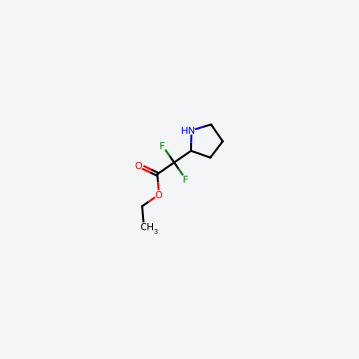 CCOC(=O)C(F)(F)C1CCCN1